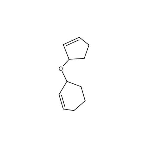 C1=CC(OC2C=CCC2)CCC1